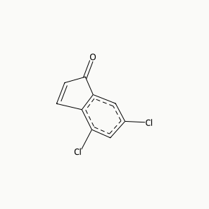 O=C1C=Cc2c(Cl)cc(Cl)cc21